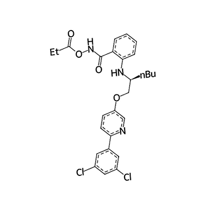 CCCC[C@@H](COc1ccc(-c2cc(Cl)cc(Cl)c2)nc1)Nc1ccccc1C(=O)NOC(=O)CC